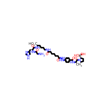 C[C@@H](NC(=O)c1ccc(NNC(=O)CCCCCC(=O)NCCCC[C@H](NC(=O)[C@H](CC2CNC=N2)NC(=O)CN)C(=O)O)cc1)C(=O)N1CCC[C@H]1B(O)O